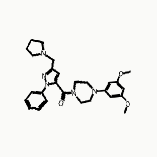 COc1cc(OC)cc(N2CCN(C(=O)c3cc(CN4CCCC4)nn3-c3ccccc3)CC2)c1